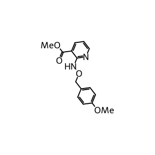 COC(=O)c1cccnc1NOCc1ccc(OC)cc1